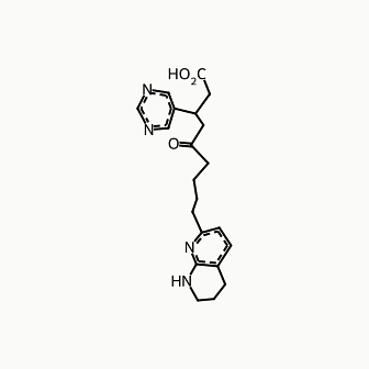 O=C(O)CC(CC(=O)CCCCc1ccc2c(n1)NCCC2)c1cncnc1